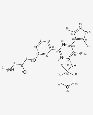 CNCC(O)COc1cccc(-c2nc(NC3(C)CCOCC3)c(F)c(-c3c(C)noc3C)n2)c1